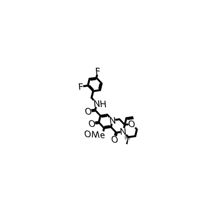 C=CC12Cn3cc(C(=O)NCc4ccc(F)cc4F)c(=O)c(OC)c3C(=O)N1[C@H](C)CCO2